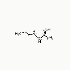 CCCNNC(=N)N